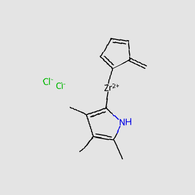 C=C1C=CC=[C]1[Zr+2][c]1[nH]c(C)c(C)c1C.[Cl-].[Cl-]